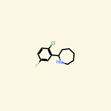 Fc1ccc(Cl)c(C2CCCCCN2)c1